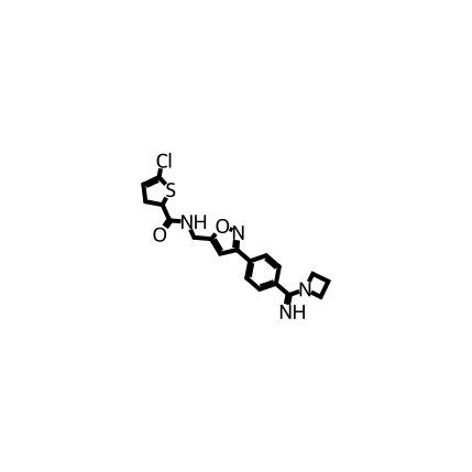 N=C(c1ccc(-c2cc(CNC(=O)C3CC=C(Cl)S3)on2)cc1)N1CCC1